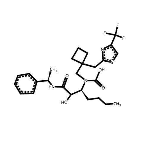 CCCC[C@@H](C(O)C(=O)N[C@H](C)c1ccccc1)N(CC1(Cc2nc(C(F)(F)F)cs2)CCC1)C(=O)O